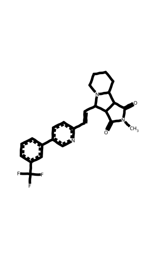 CN1C(=O)C2C(C1=O)C1CCCCN1C2C=Cc1ccc(-c2cccc(C(F)(F)F)c2)cn1